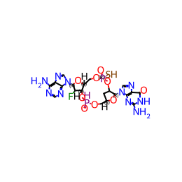 Nc1nc2c(ncn2[C@@H]2O[C@@H]3CO[PH](=O)O[C@@H]4C(F)[C@H](n5cnc6c(N)ncnc65)O[C@@H]4CO[P@@](=O)(S)OC2C3)c(=O)[nH]1